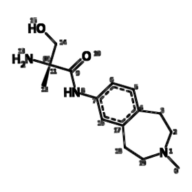 CN1CCc2ccc(NC(=O)[C@](C)(N)CO)cc2CC1